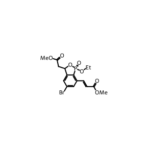 CCOP1(=O)OC(CC(=O)OC)c2cc(Br)cc(C=CC(=O)OC)c21